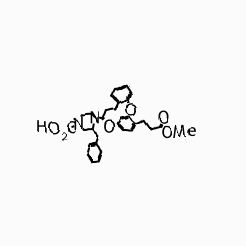 COC(=O)CCc1ccccc1Oc1ccccc1CCC(=O)N1CCN(C(=O)O)CC1Cc1ccccc1